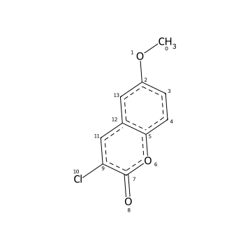 COc1ccc2oc(=O)c(Cl)cc2c1